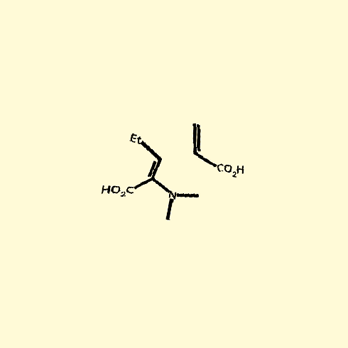 C=CC(=O)O.CC/C=C(\C(=O)O)N(C)C